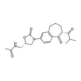 CC(=O)NC[C@H]1CN(c2ccc3c(c2)CCC[C@H](C(=O)C(C)C)C3=O)C(=O)O1